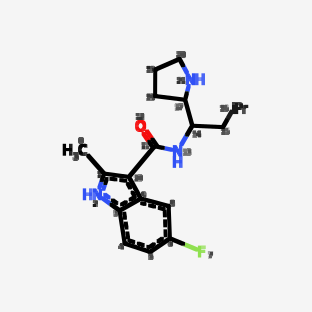 Cc1[nH]c2ccc(F)cc2c1C(=O)NC(CC(C)C)C1CCCN1